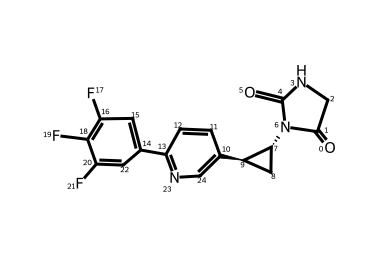 O=C1CNC(=O)N1[C@@H]1C[C@H]1c1ccc(-c2cc(F)c(F)c(F)c2)nc1